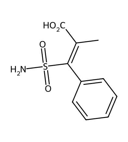 CC(C(=O)O)=C(c1ccccc1)S(N)(=O)=O